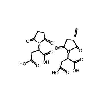 C=C.O=C(O)CC(C(=O)O)N1C(=O)CCC1=O.O=C(O)CC(C(=O)O)N1C(=O)CCC1=O